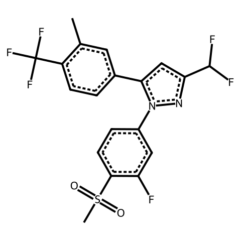 Cc1cc(-c2cc(C(F)F)nn2-c2ccc(S(C)(=O)=O)c(F)c2)ccc1C(F)(F)F